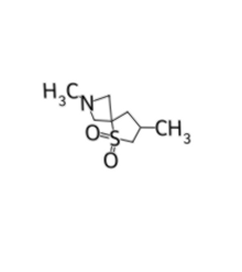 CC1CC2(CN(C)C2)S(=O)(=O)C1